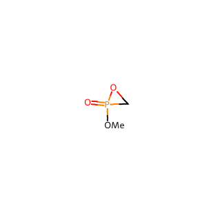 COP1(=O)CO1